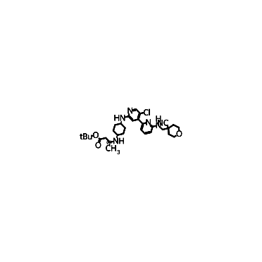 C[C@H](CC(=O)OC(C)(C)C)N[C@H]1CC[C@H](Nc2cc(-c3cccc(NCC4(C#N)CCOCC4)n3)c(Cl)cn2)CC1